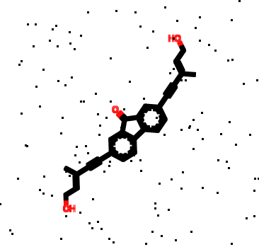 CC(C#Cc1ccc2c(c1)C(=O)c1cc(C#CC(C)=CCO)ccc1-2)=CCO